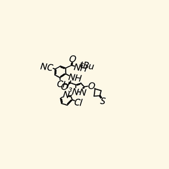 Cc1cc(C#N)cc(C(=O)NC(C)(C)C)c1NC(=O)c1cc(OC2CC(=S)C2)nn1-c1ncccc1Cl